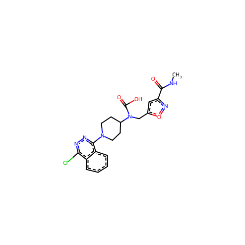 CNC(=O)c1cc(CN(C(=O)O)C2CCN(c3nnc(Cl)c4ccccc34)CC2)on1